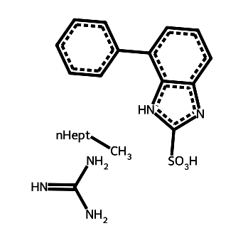 CCCCCCCC.N=C(N)N.O=S(=O)(O)c1nc2cccc(-c3ccccc3)c2[nH]1